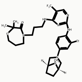 CCc1cc(N2C[C@H]3CC[C@@H](C2)N3C)ccc1Nc1ncc(C(F)(F)F)c(NCCCN2CCCOC(C)(C)C2=O)n1